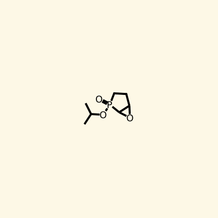 CC(C)OP1(=O)CCC2OC21